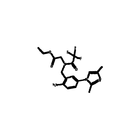 CCOC(=O)CN(Cc1cc(-n2cc(C)nc2C)ccc1N)C(=O)C(F)(F)F